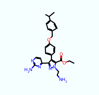 CCOC(=O)c1c(-c2ccc(OCc3ccc(C(C)C)cc3)cc2)c(-c2ccnc(N)n2)nn1CCN